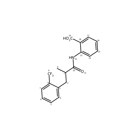 CC(Cc1ccccc1C(F)(F)F)C(=O)Nc1ccccc1C(=O)O